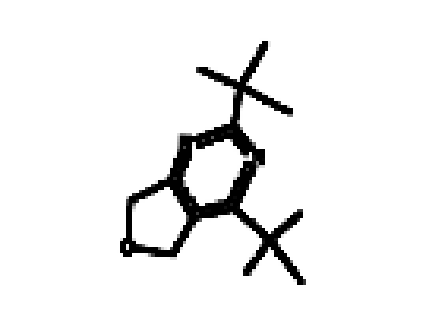 CC(C)(C)c1nc2c(c(C(C)(C)C)n1)COC2